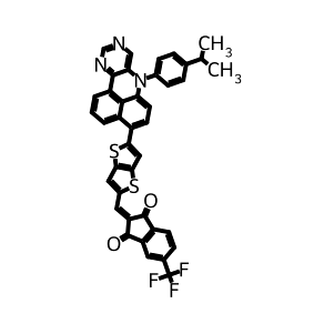 CC(C)c1ccc(N2c3cncnc3-c3cccc4c(-c5cc6sc(/C=C7\C(=O)c8ccc(C(F)(F)F)cc8C7=O)cc6s5)ccc2c34)cc1